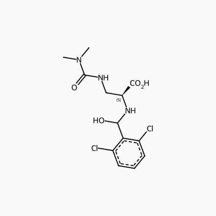 CN(C)C(=O)NC[C@H](NC(O)c1c(Cl)cccc1Cl)C(=O)O